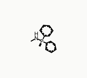 C=P(NC)(c1ccccc1)c1ccccc1